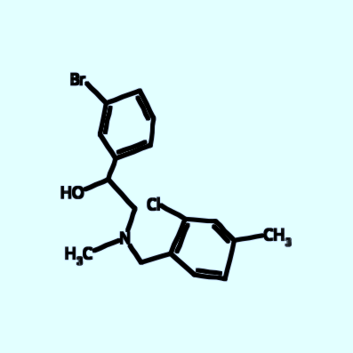 Cc1ccc(CN(C)CC(O)c2cccc(Br)c2)c(Cl)c1